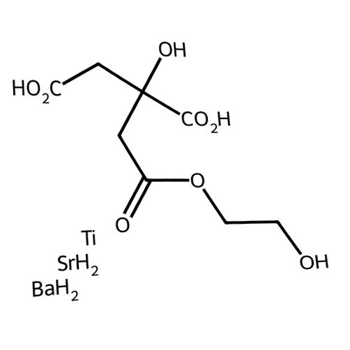 O=C(O)CC(O)(CC(=O)OCCO)C(=O)O.[BaH2].[SrH2].[Ti]